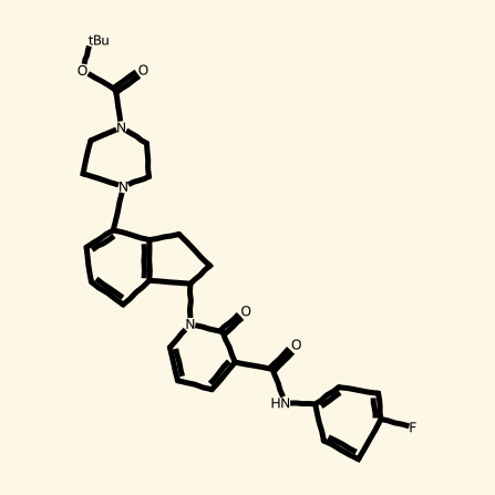 CC(C)(C)OC(=O)N1CCN(c2cccc3c2CCC3n2cccc(C(=O)Nc3ccc(F)cc3)c2=O)CC1